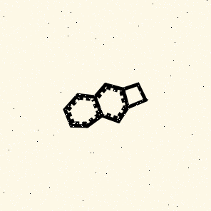 c1ccc2cc3c(cc2c1)CC3